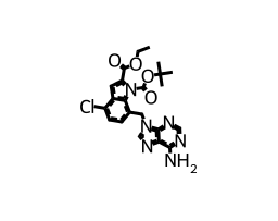 CCOC(=O)c1cc2c(Cl)ccc(Cn3cnc4c(N)ncnc43)c2n1C(=O)OC(C)(C)C